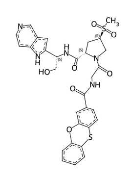 CS(=O)(=O)[C@@H]1C[C@@H](C(=O)N[C@H](CO)c2cc3cnccc3[nH]2)N(C(=O)CNC(=O)c2ccc3c(c2)Oc2ccccc2S3)C1